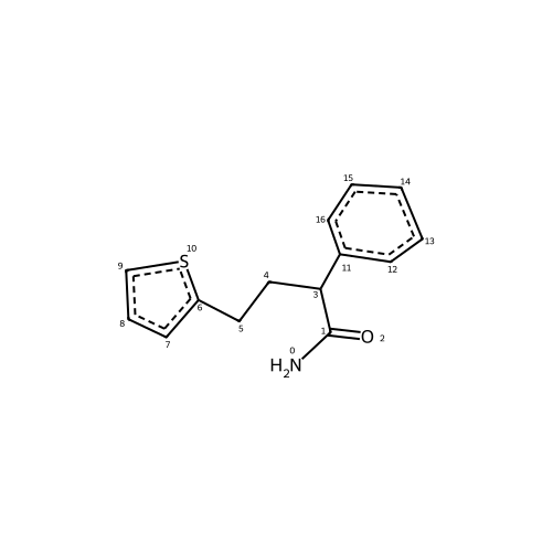 NC(=O)C(CCc1cccs1)c1ccccc1